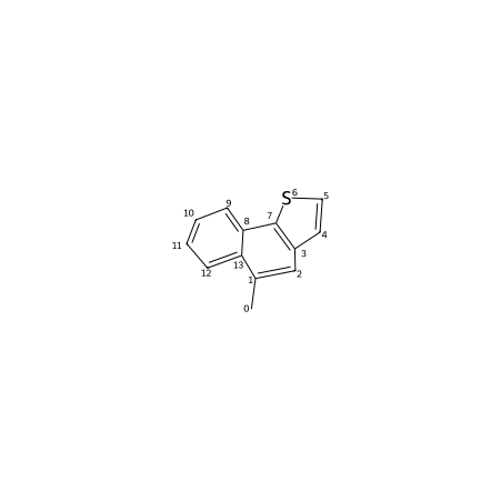 Cc1cc2ccsc2c2ccccc12